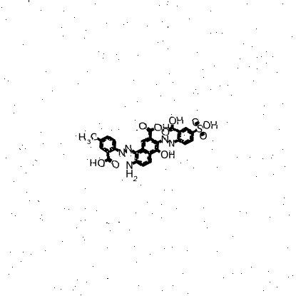 Cc1ccc(/N=N/c2c(N)ccc3c(O)c(N=Nc4ccc(S(=O)(=O)O)cc4C(=O)O)c(C(=O)O)cc23)c(C(=O)O)c1